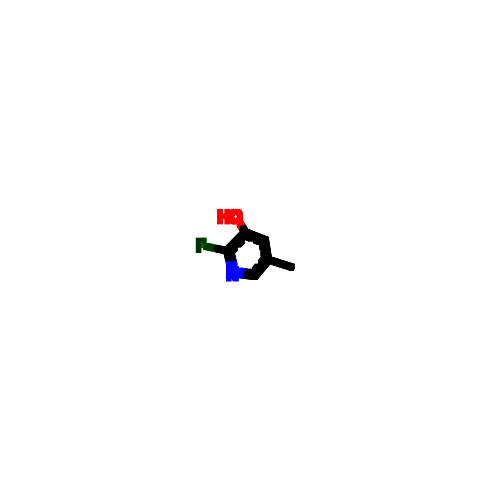 Cc1cnc(F)c(O)c1